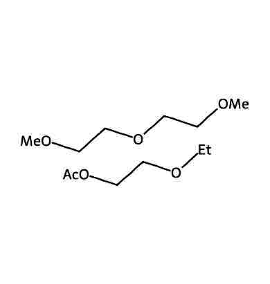 CCOCCOC(C)=O.COCCOCCOC